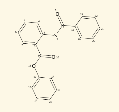 O=C(Sc1ccccc1C(=O)Oc1ccccc1)c1ccccc1